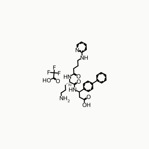 NCCC[C@H](NC(=O)CCCNc1ccccn1)C(=O)NC(CC(=O)O)c1ccc(-c2ccccc2)cc1.O=C(O)C(F)(F)F